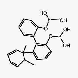 CC1C=CC=CC1(C)c1cccc(OP(O)O)c1-c1ccccc1OP(O)O